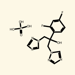 O=P(O)(O)O.OC(Cn1cncn1)(Cn1cncn1)c1ccc(F)cc1F